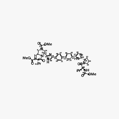 COC(=O)N[C@H](C(=O)N1CCN(C(=O)OC)C[C@H]1c1nc(-c2ccc(-c3ccc(-c4cnc([C@@H]5CCCN5C(=O)[C@@H](NC(=O)OC)C(C)C)[nH]4)cc3)cc2)c[nH]1)C(C)C